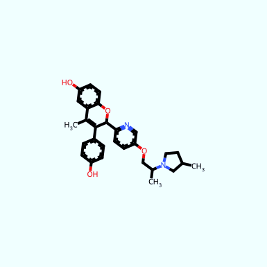 CC1=C(c2ccc(O)cc2)C(c2ccc(OCC(C)N3CCC(C)C3)cn2)Oc2ccc(O)cc21